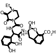 CCN1CCN(C(=O)NC(C(=O)N[C@H]2Cc3cccc(C(=O)O)c3OB2O)c2cccc(O)c2O)C(=O)C1=O